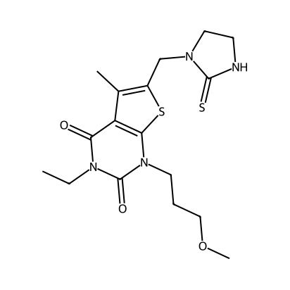 CCn1c(=O)c2c(C)c(CN3CCNC3=S)sc2n(CCCOC)c1=O